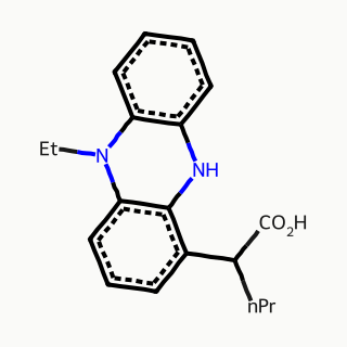 CCCC(C(=O)O)c1cccc2c1Nc1ccccc1N2CC